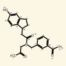 CC(=O)CN(Cc1cccc(C(C)=O)c1)C(=O)CC1CCc2cc(O)ccc21